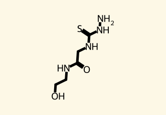 NNC(=S)NCC(=O)NCCO